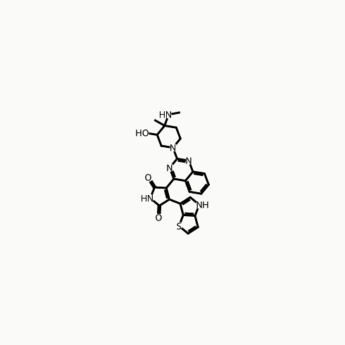 CNC1(C)CCN(c2nc(C3=C(c4c[nH]c5ccsc45)C(=O)NC3=O)c3ccccc3n2)CC1O